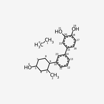 CC.CC1CC(O)CCC1c1cccc(-c2ccc(O)c(O)c2)c1